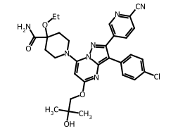 CCOC1(C(N)=O)CCN(c2cc(OCC(C)(C)O)nc3c(-c4ccc(Cl)cc4)c(-c4ccc(C#N)nc4)nn23)CC1